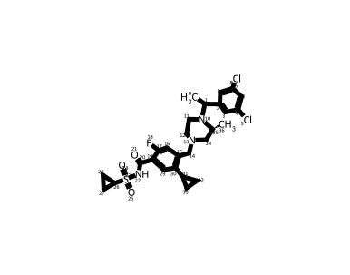 CC(c1cc(Cl)cc(Cl)c1)N1CCN(Cc2cc(F)c(C(=O)NS(=O)(=O)C3CC3)cc2C2CC2)C[C@H]1C